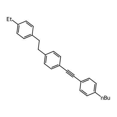 CCCCc1ccc(C#Cc2ccc(CCc3ccc(CC)cc3)cc2)cc1